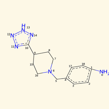 Nc1ccc(CN2CCC(c3nn[nH]n3)CC2)cc1